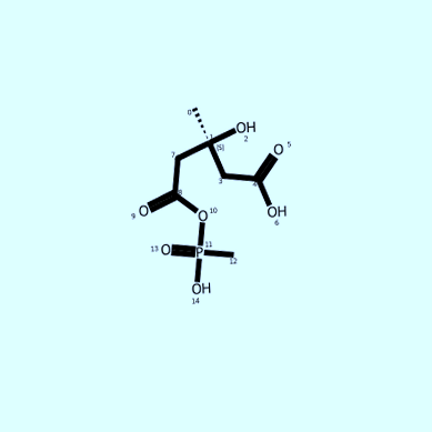 C[C@](O)(CC(=O)O)CC(=O)OP(C)(=O)O